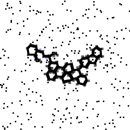 C=C1CCC=C/C1=C/C=C(\C)c1cccc(-c2ccc(N(c3ccc4c(c3)sc3ccccc34)c3ccccc3-c3ccc(-c4ccccc4)cc3)cc2)c1